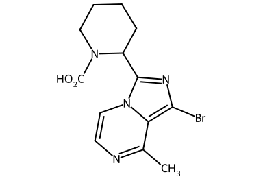 Cc1nccn2c(C3CCCCN3C(=O)O)nc(Br)c12